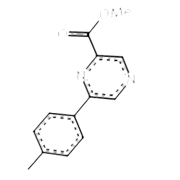 COC(=O)c1cncc(-c2ccc(C)cc2)n1